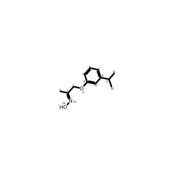 CC(COc1cccc(C(C)C)c1)=NO